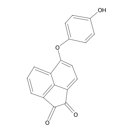 O=C1C(=O)c2ccc(Oc3ccc(O)cc3)c3cccc1c23